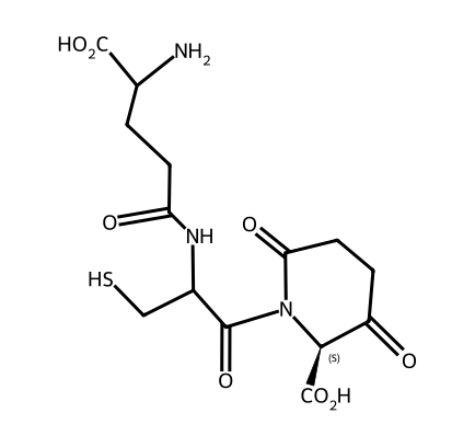 NC(CCC(=O)NC(CS)C(=O)N1C(=O)CCC(=O)[C@H]1C(=O)O)C(=O)O